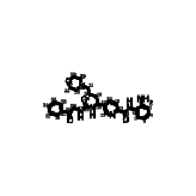 Nc1ccccc1NC(=O)c1ccc(C(CCCN2CCOCC2)NC(=O)NCC(=O)c2ccccc2)cn1